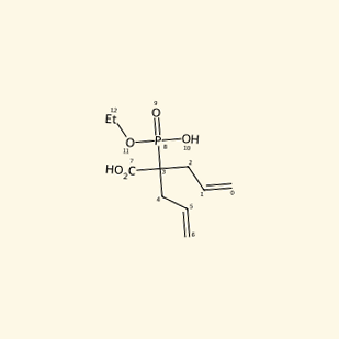 C=CCC(CC=C)(C(=O)O)P(=O)(O)OCC